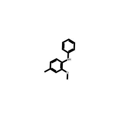 COc1cc(C)ccc1Nc1ccccc1